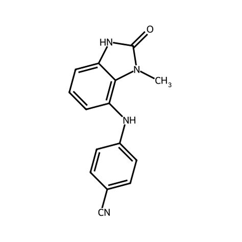 Cn1c(=O)[nH]c2cccc(Nc3ccc(C#N)cc3)c21